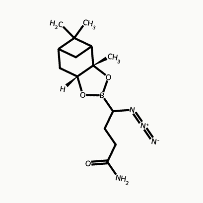 CC1(C)C2CC1[C@]1(C)OB(C(CCC(N)=O)N=[N+]=[N-])O[C@@H]1C2